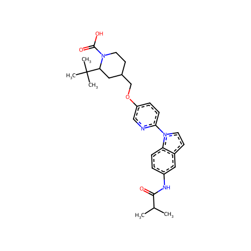 CC(C)C(=O)Nc1ccc2c(ccn2-c2ccc(OCC3CCN(C(=O)O)C(C(C)(C)C)C3)cn2)c1